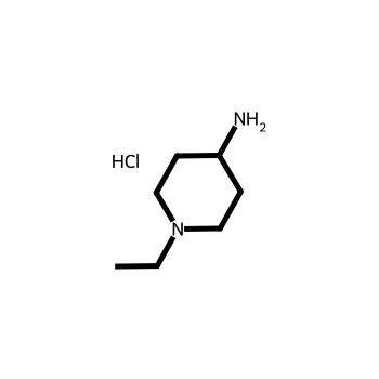 CCN1CCC(N)CC1.Cl